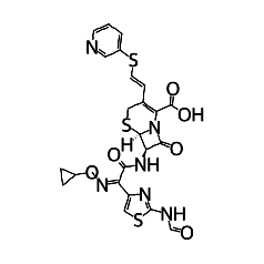 O=CNc1nc(/C(=N/OC2CC2)C(=O)N[C@@H]2C(=O)N3C(C(=O)O)=C(/C=C/Sc4cccnc4)CS[C@H]23)cs1